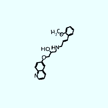 COc1ccccc1C=CCNCC(O)COc1ccc2ncccc2c1